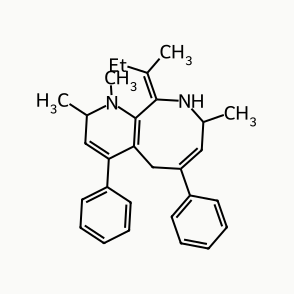 CC/C(C)=C1/NC(C)/C=C(/c2ccccc2)CC2=C1N(C)C(C)C=C2c1ccccc1